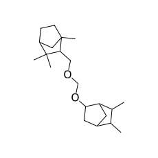 CC1C2CC(OCOCC3C4(C)CCC(C4)C3(C)C)C(C2)C1C